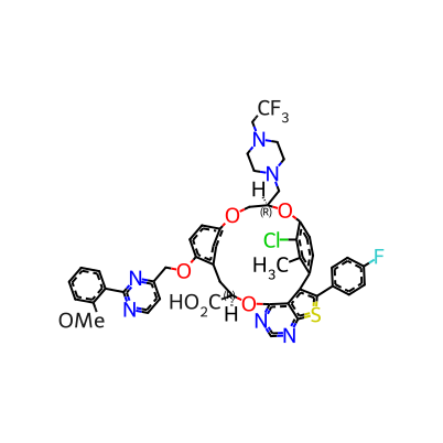 COc1ccccc1-c1nccc(COc2ccc3cc2C[C@H](C(=O)O)Oc2ncnc4sc(-c5ccc(F)cc5)c(c24)-c2ccc(c(Cl)c2C)O[C@H](CN2CCN(CC(F)(F)F)CC2)CO3)n1